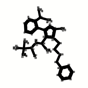 Cc1nc(-c2cccnc2C(C)C)c([C@@H](C)N[S+]([O-])C(C)(C)C)n1CCOCc1ccccc1